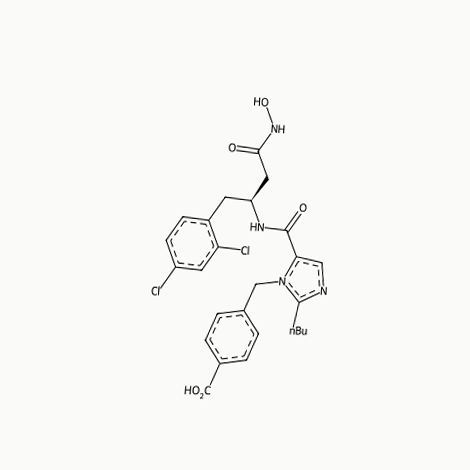 CCCCc1ncc(C(=O)N[C@H](CC(=O)NO)Cc2ccc(Cl)cc2Cl)n1Cc1ccc(C(=O)O)cc1